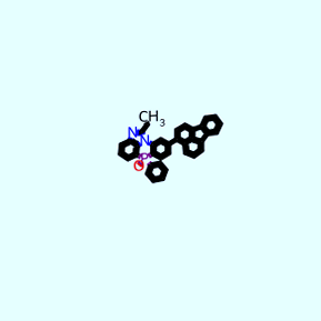 CCc1nc2cccc3c2n1-c1cc(-c2ccc4c5c(cccc25)-c2ccccc2-4)ccc1P3(=O)c1ccccc1